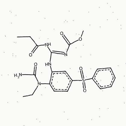 CCC(=O)NC(=NC(=O)OC)Nc1cc(S(=O)(=O)c2ccccc2)ccc1N(CC)C(N)=O